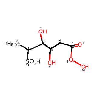 CCCCCCCC(C(O)C(O)CC(=O)OO)S(=O)(=O)O